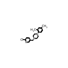 Cc1ccc(N2CCN(Cc3ccc(Cl)nc3)CC2)c(C)c1